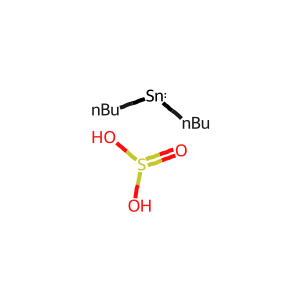 CCC[CH2][Sn][CH2]CCC.O=S(O)O